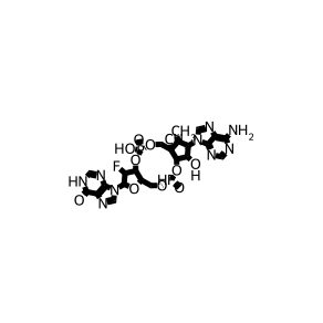 CC1C(n2cnc3c(N)ncnc32)C(O)C2O[PH](=O)OCC3OC(n4cnc5c(=O)[nH]cnc54)C(F)C3OP(=O)(O)OCC12C